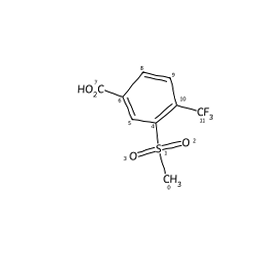 CS(=O)(=O)c1cc(C(=O)O)ccc1C(F)(F)F